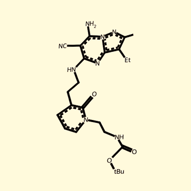 CCc1c(C)nn2c(N)c(C#N)c(NCCc3cccn(CCNC(=O)OC(C)(C)C)c3=O)nc12